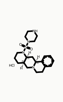 Cl.O=S(=O)(N1CCNCC1)N1CCC[C@@H]2CN3CCc4ccccc4[C@@H]3C[C@@H]21